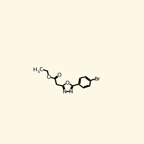 CCOC(=O)Cc1nnc(-c2ccc(Br)cc2)o1